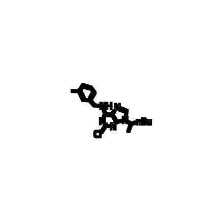 CCCCC(C)n1cnc2c(NCc3cccc(C)c3)nc(Cl)nc21